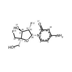 Nc1ccn([C@@H]2O[C@@](CO)(CF)[C@@H](O)[C@@H]2F)c(=O)n1